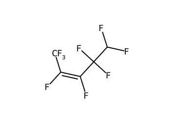 F/C(=C(\F)C(F)(F)C(F)F)C(F)(F)F